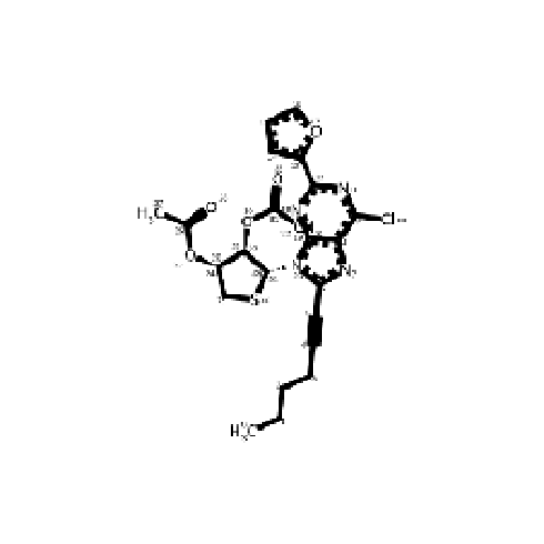 CCCCC#Cc1nc2c(Cl)nc(-c3ccco3)nc2n1[C@@H]1SC[C@@H](OC(C)=O)[C@H]1OC(C)=O